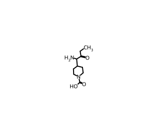 CCC(=O)C(N)C1CCN(C(=O)O)CC1